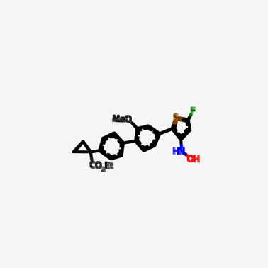 CCOC(=O)C1(c2ccc(-c3ccc(-c4sc(F)cc4NO)cc3OC)cc2)CC1